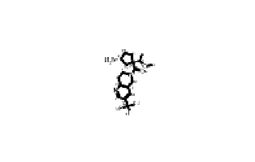 COC(C)[C@]1(C(=O)N2CCc3ncc(C(F)(F)F)cc3C2)CC[C@@H](N)C1